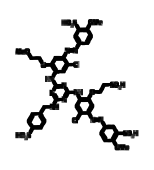 COCCOc1cc(N=Nc2ccc(OC)c(S(=O)(=O)O)c2)c(Cl)cc1Nc1nc(NCc2ccc(S(=O)(=O)O)cc2)nc(Nc2cc(Cl)c(N=Nc3ccc(OC)c(S(=O)(=O)O)c3)cc2OCCS(=O)(=O)O)n1